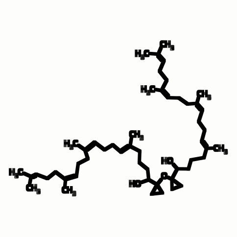 CC(C)=CCCC(C)=CCCC(C)=CCCC=C(C)CCCC(O)C1(OC2(C(O)CCCC(C)=CCCC=C(C)CCC=C(C)CCC=C(C)C)CC2)CC1